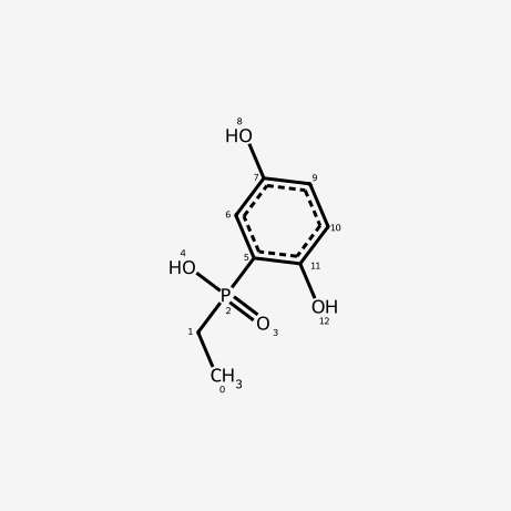 CCP(=O)(O)c1cc(O)ccc1O